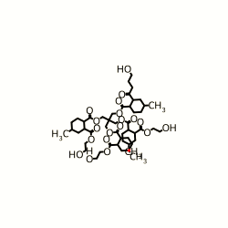 CC1CCC(C(=O)OCC(COC(=O)C2CCC(C)CC2C(=O)OCCO)(COC(=O)C2CCC(C)CC2C(=O)OCCO)COC(=O)C2CCC(C)CC2C(=O)OCCO)C(C(=O)CCCO)C1